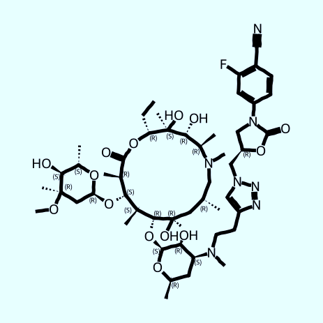 CC[C@H]1OC(=O)[C@H](C)[C@@H](O[C@H]2C[C@@](C)(OC)[C@@H](O)[C@H](C)O2)[C@H](C)[C@@H](O[C@@H]2O[C@H](C)C[C@H](N(C)CCc3cn(C[C@H]4CN(c5ccc(C#N)c(F)c5)C(=O)O4)nn3)[C@H]2O)[C@](C)(O)C[C@@H](C)CN(C)[C@H](C)[C@@H](O)[C@]1(C)O